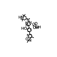 Cc1nc2c(C)cc(-c3ccc(-c4cnc(N(C)C5CC(C)(C)NC(C)(C)C5)nn4)c(O)c3)nc2o1.O=CO.O=CO